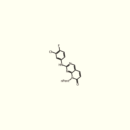 CCCCCn1c(=O)ccc2cnc(Nc3ccc(F)c(Cl)c3)nc21